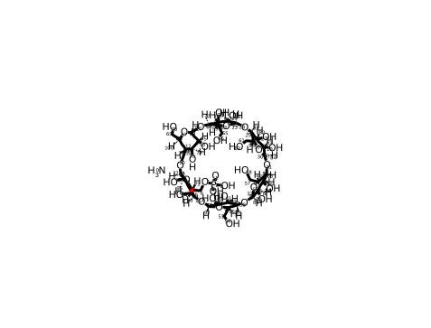 N.O=P(O)(O)OC[C@H]1O[C@@H]2O[C@H]3[C@H](O)[C@@H](O)[C@@H](O[C@H]4[C@H](O)[C@@H](O)[C@@H](O[C@H]5[C@H](O)[C@@H](O)[C@@H](O[C@H]6[C@H](O)[C@@H](O)[C@@H](O[C@H]7[C@H](O)[C@@H](O)[C@@H](O[C@H]1[C@H](O)[C@H]2O)O[C@@H]7CO)O[C@@H]6CO)O[C@@H]5CO)O[C@@H]4CO)O[C@@H]3CO